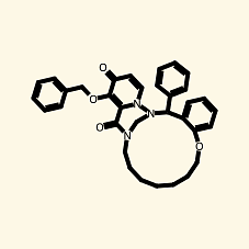 O=C1c2c(OCc3ccccc3)c(=O)ccn2N2CN1CCCCCCCOc1ccccc1C2c1ccccc1